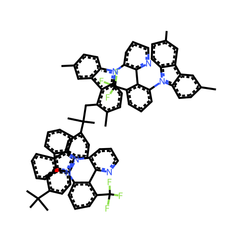 Cc1ccc2c(c1)c1cc(C)ccc1n2-c1cccc(C(F)(F)F)c1-c1ncccc1-n1c2ccc(C)cc2c2c(CC(C)(C)c3ccc4c(c3)c3ccccc3n4-c3cccc(C(F)(F)F)c3-c3ncccc3-n3c4ccccc4c4cc(C(C)(C)C)ccc43)c(C)ccc21